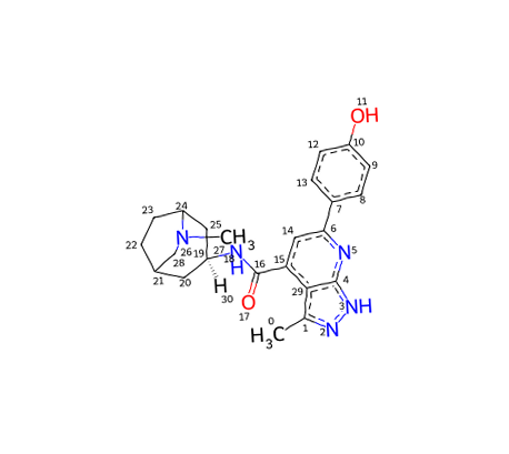 Cc1n[nH]c2nc(-c3ccc(O)cc3)cc(C(=O)N[C@H]3CC4CCC(C3)N(C)C4)c12